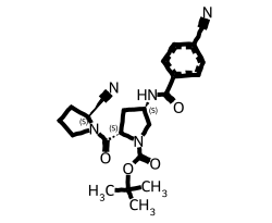 CC(C)(C)OC(=O)N1C[C@@H](NC(=O)c2ccc(C#N)cc2)C[C@H]1C(=O)N1CCC[C@H]1C#N